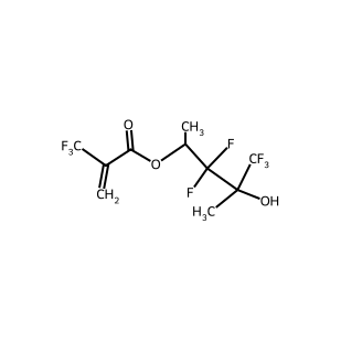 C=C(C(=O)OC(C)C(F)(F)C(C)(O)C(F)(F)F)C(F)(F)F